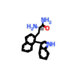 NC(=O)[C@@H](N)Cc1ccc2ccccc2c1-c1c[nH]c2ccccc12